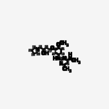 CNc1cc(C)nc(Nc2ccc(OC)c(OCC[C@H](O)CN3CCCC3)c2)n1